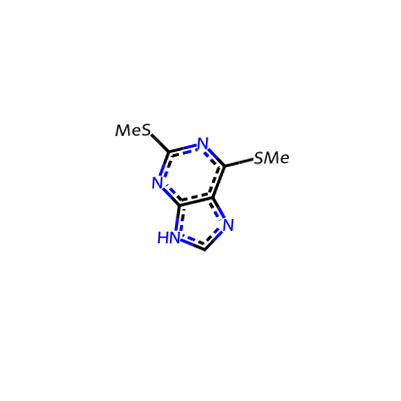 CSc1nc(SC)c2nc[nH]c2n1